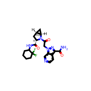 NC(=O)c1nn(CC(=O)N2[C@@H]3C[C@@H]3C[C@H]2C(=O)NC2CCCCC2(F)F)c2cnccc12